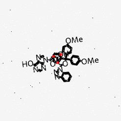 COc1ccc(C(OC([C@H]2O[C@@H](n3cnc4c(O)ncnc43)C[C@@H]2O)n2nnc3ccccc32)(c2ccccc2)c2ccc(OC)cc2)cc1